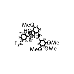 COc1ccc(C=Cc2cc(OC)c(OC)c(OC)c2)c(NS(=O)(=O)c2cccc(C(F)(F)F)c2)c1O